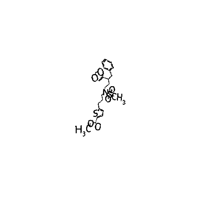 COC(=O)c1ccc(CCCN(CCC(Cc2ccccc2)C2=COCO2)S(C)(=O)=O)s1